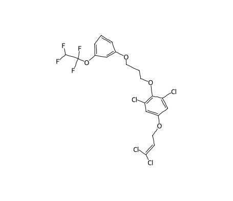 FC(F)C(F)(F)Oc1cccc(OCCCOc2c(Cl)cc(OCC=C(Cl)Cl)cc2Cl)c1